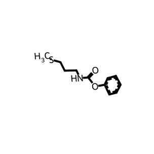 CSCCCNC(=O)Oc1ccccc1